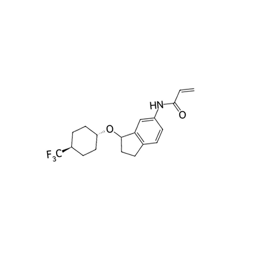 C=CC(=O)Nc1ccc2c(c1)C(O[C@H]1CC[C@H](C(F)(F)F)CC1)CC2